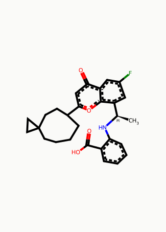 C[C@@H](Nc1ccccc1C(=O)O)c1cc(F)cc2c(=O)cc(C3CCCCC4(CC3)CC4)oc12